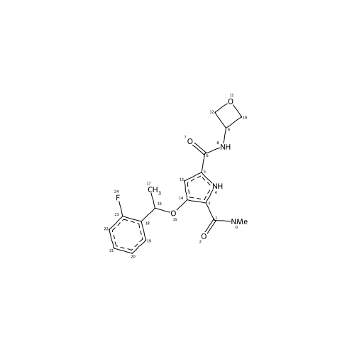 CNC(=O)c1[nH]c(C(=O)NC2COC2)cc1OC(C)c1ccccc1F